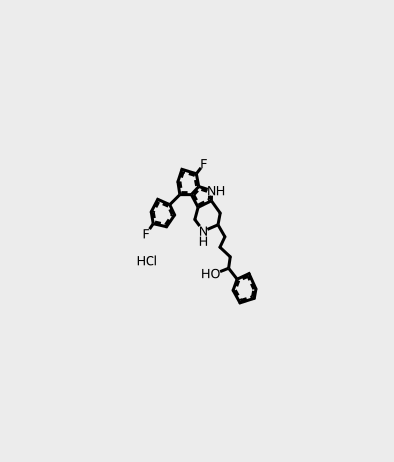 Cl.OC(CCCC1Cc2[nH]c3c(F)ccc(-c4ccc(F)cc4)c3c2CN1)c1ccccc1